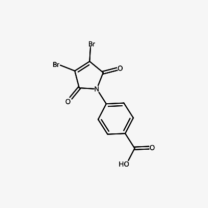 O=C(O)c1ccc(N2C(=O)C(Br)=C(Br)C2=O)cc1